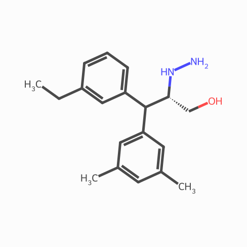 CCc1cccc(C(c2cc(C)cc(C)c2)[C@@H](CO)NN)c1